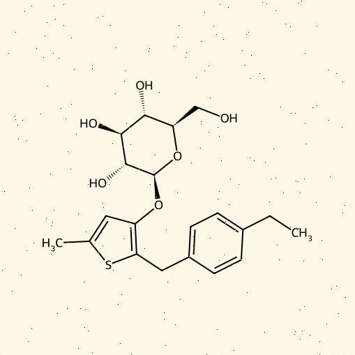 CCc1ccc(Cc2sc(C)cc2O[C@@H]2O[C@H](CO)[C@@H](O)[C@H](O)[C@H]2O)cc1